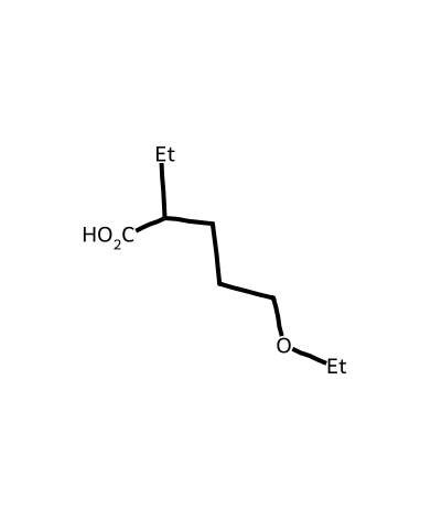 CCOCCCC(CC)C(=O)O